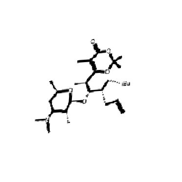 C=CC[C@@H](C[C@@H](C)CC)[C@H](O[C@@H]1O[C@H](C)CC(N(C)C)[C@H]1C)[C@@H](C)C1=C(C)C(=O)OC(C)(C)O1